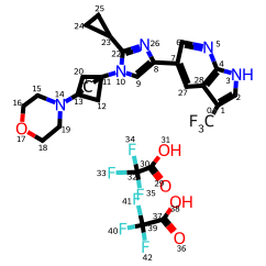 FC(F)(F)c1c[nH]c2ncc(-c3cn(C45CC(N6CCOCC6)(C4)C5)c(C4CC4)n3)cc12.O=C(O)C(F)(F)F.O=C(O)C(F)(F)F